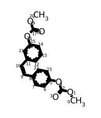 COC(=O)Oc1ccc(/C=C\c2cccc(OC(=O)OC)c2)cc1